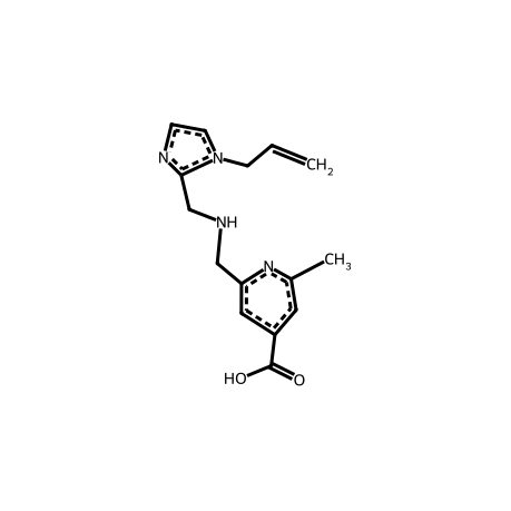 C=CCn1ccnc1CNCc1cc(C(=O)O)cc(C)n1